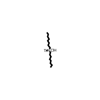 CCCCCCCC[N]([Ti])CCCCCCCC.Cl